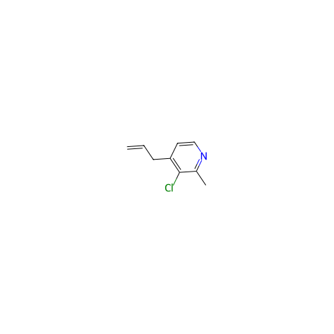 C=CCc1ccnc(C)c1Cl